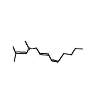 CCCC/C=C\C=CCN(C)C=C(C)C